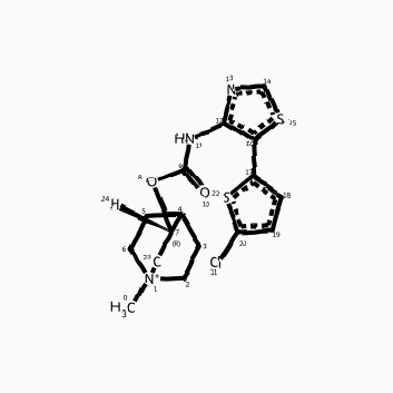 C[N+]12CCC(CC1)[C@@H](OC(=O)Nc1ncsc1-c1ccc(Cl)s1)C2